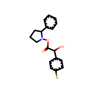 O=C(ON1CCCC1c1ccccc1)C(O)c1ccc(Br)cc1